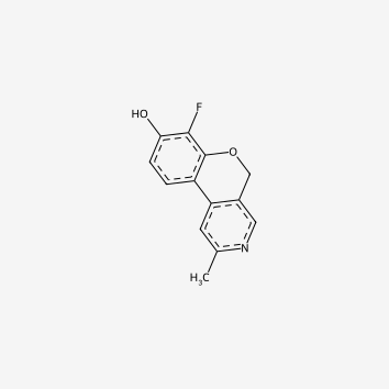 Cc1cc2c(cn1)COc1c-2ccc(O)c1F